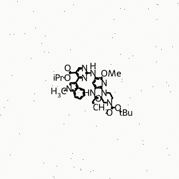 C=CC(=O)Nc1cc(Nc2ncc(C(=O)OC(C)C)c(-c3cn(C)c4ccccc34)n2)c(OC)nc1N1CCN(C(=O)OC(C)(C)C)CC1